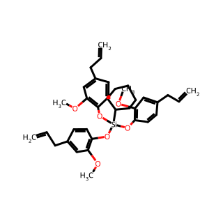 C=CCc1ccc(O[Si](Oc2ccc(CC=C)cc2OC)(Oc2ccc(CC=C)cc2OC)C2CCCCC2)c(OC)c1